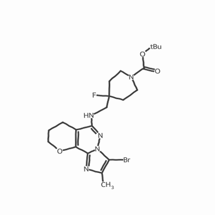 Cc1nc2c3c(c(NCC4(F)CCN(C(=O)OC(C)(C)C)CC4)nn2c1Br)CCCO3